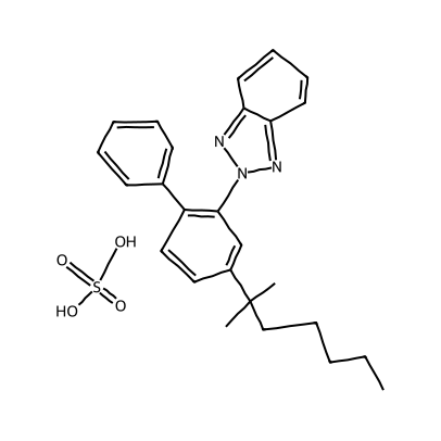 CCCCCC(C)(C)c1ccc(-c2ccccc2)c(-n2nc3ccccc3n2)c1.O=S(=O)(O)O